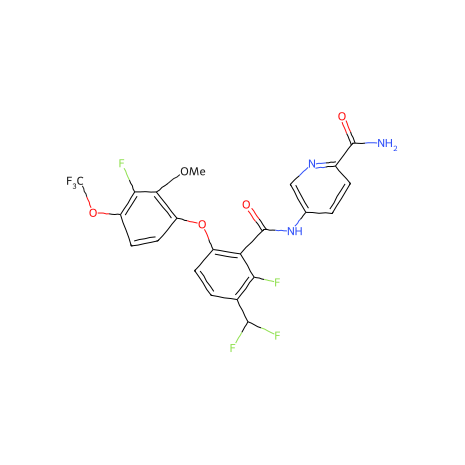 COc1c(Oc2ccc(C(F)F)c(F)c2C(=O)Nc2ccc(C(N)=O)nc2)ccc(OC(F)(F)F)c1F